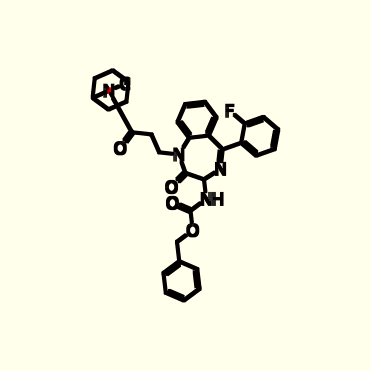 O=C(NC1N=C(c2ccccc2F)c2ccccc2N(CCC(=O)N2CC3CCC(CC3)C2)C1=O)OCc1ccccc1